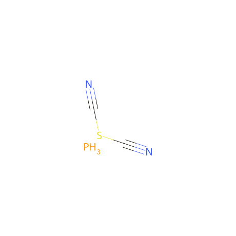 N#CSC#N.P